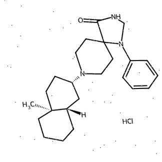 C[C@@]12CCCC[C@H]1C[C@@H](N1CCC3(CC1)C(=O)NCN3c1ccccc1)CC2.Cl